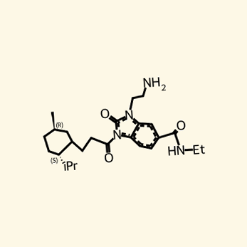 CCNC(=O)c1ccc2c(c1)n(CCN)c(=O)n2C(=O)CCC1C[C@H](C)CC[C@H]1C(C)C